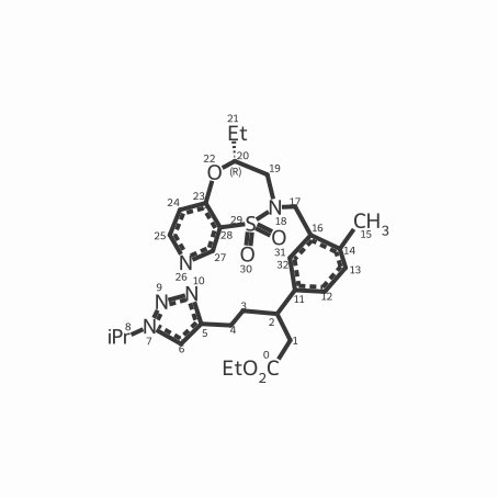 CCOC(=O)CC(CCc1cn(C(C)C)nn1)c1ccc(C)c(CN2C[C@@H](CC)Oc3ccncc3S2(=O)=O)c1